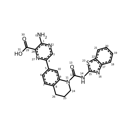 Nc1ncc(-c2ccc3c(c2)N(C(=O)Nc2nc4ccccc4s2)CCC3)nc1C(=O)O